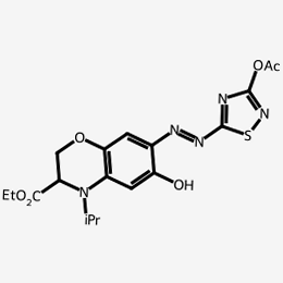 CCOC(=O)C1COc2cc(N=Nc3nc(OC(C)=O)ns3)c(O)cc2N1C(C)C